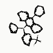 FC(F)(F)c1cccc(N(c2ccccc2)c2c3ccccc3c(-c3ccccc3)c3ccccc23)n1